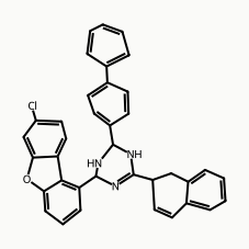 Clc1ccc2c(c1)oc1cccc(C3N=C(C4C=Cc5ccccc5C4)NC(c4ccc(-c5ccccc5)cc4)N3)c12